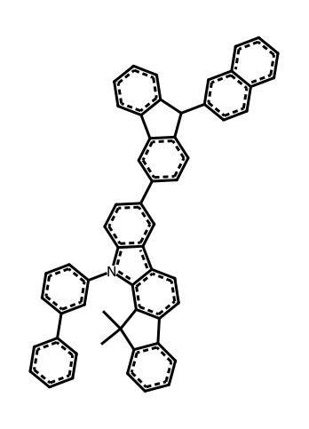 CC1(C)c2ccccc2-c2ccc3c4cc(-c5ccc6c(c5)-c5ccccc5C6c5ccc6ccccc6c5)ccc4n(-c4cccc(-c5ccccc5)c4)c3c21